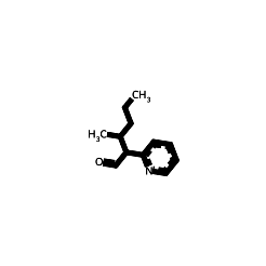 CCCC(C)C(C=O)c1ccccn1